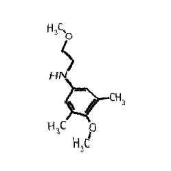 COCCNc1cc(C)c(OC)c(C)c1